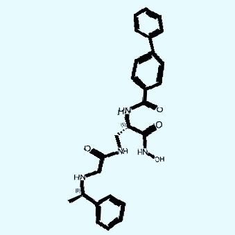 C[C@@H](NCC(=O)NC[C@H](NC(=O)c1ccc(-c2ccccc2)cc1)C(=O)NO)c1ccccc1